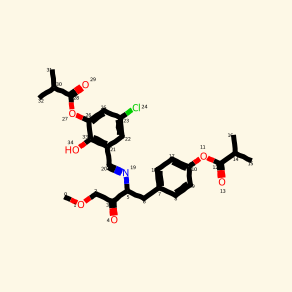 COCC(=O)C(Cc1ccc(OC(=O)C(C)C)cc1)N=Cc1cc(Cl)cc(OC(=O)C(C)C)c1O